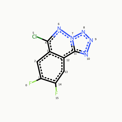 Fc1cc2c(Cl)nn3nnnc3c2cc1F